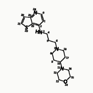 c1cc(NCCCN2CCC(N3CCOCC3)CC2)c2sccc2n1